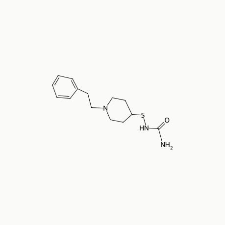 NC(=O)NSC1CCN(CCc2ccccc2)CC1